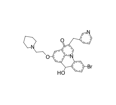 O=c1c(Cc2cccnc2)cn2c3c(cc(OCCN4CCCCC4)cc13)C(O)c1ccc(Br)cc1-2